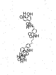 C[N+]1(C)[C@@H]2CC(OC(=O)Nc3cc(CCCC(=O)Nc4ccc(CNC[C@H](O)c5ccc(O)c6[nH]c(=O)ccc56)cc4Cl)ccc3-c3ccccc3)C[C@H]1[C@@H]1O[C@@H]12